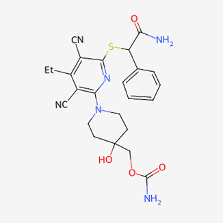 CCc1c(C#N)c(SC(C(N)=O)c2ccccc2)nc(N2CCC(O)(COC(N)=O)CC2)c1C#N